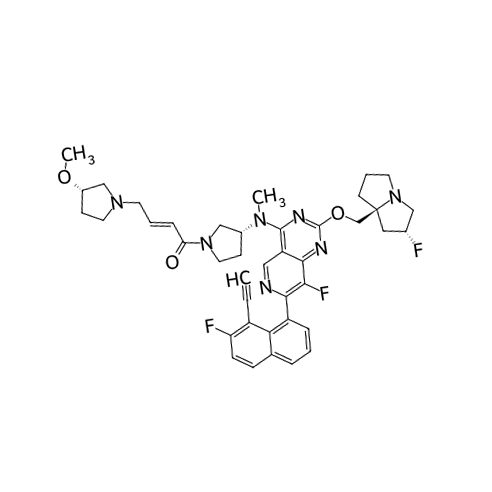 C#Cc1c(F)ccc2cccc(-c3ncc4c(N(C)[C@@H]5CCN(C(=O)/C=C/CN6CC[C@H](OC)C6)C5)nc(OC[C@@]56CCCN5C[C@H](F)C6)nc4c3F)c12